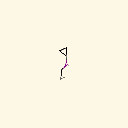 CCC[P]C1CC1